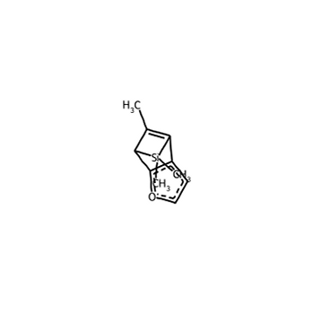 CC1=C2c3ccoc3C1[Si]2(C)C